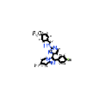 CCc1ccn2c(-c3ccnc(NCc4ccc(C(F)(F)F)cc4)n3)c(-c3ccc(F)cc3)nc2c1